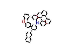 c1ccc(-c2cccc3cccc(-c4ccccc4N(c4ccc(-c5ccc6ccccc6c5)cc4)c4cccc(-c5cccc6oc7ccccc7c56)c4)c23)cc1